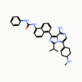 CNC1CC=C(c2cnc(N)c3c(-c4cccc5c(NC(=O)Nc6ccccc6)cccc45)nc(C(C)C)n23)CC1